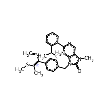 C=N/C(=C(/C)SC)c1ccc(Cn2c(=O)n(C)c3cnc(-c4ccccc4C(C)C)nc32)cc1